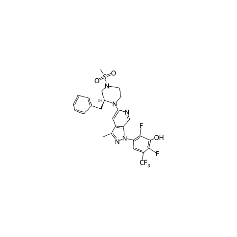 Cc1nn(-c2cc(C(F)(F)F)c(F)c(O)c2F)c2cnc(N3CCN(S(C)(=O)=O)C[C@@H]3Cc3ccccc3)cc12